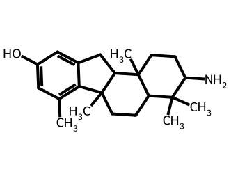 Cc1cc(O)cc2c1C1(C)CCC3C(C)(C)C(N)CCC3(C)C1C2